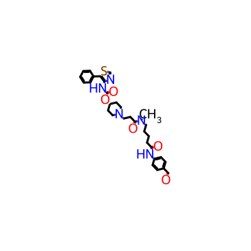 CN(CCCCC(=O)Nc1ccc(C=O)cc1)C(=O)CCN1CCC(OC(=O)Nc2ncsc2-c2ccccc2)CC1